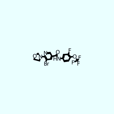 O=C(Nc1ccc(OC(F)(F)F)c(F)c1)c1cnc(N2CCOC2)c(Br)c1